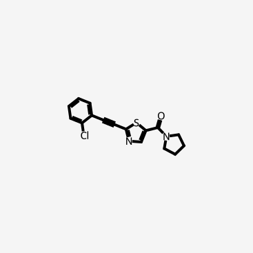 O=C(c1cnc(C#Cc2ccccc2Cl)s1)N1CCCC1